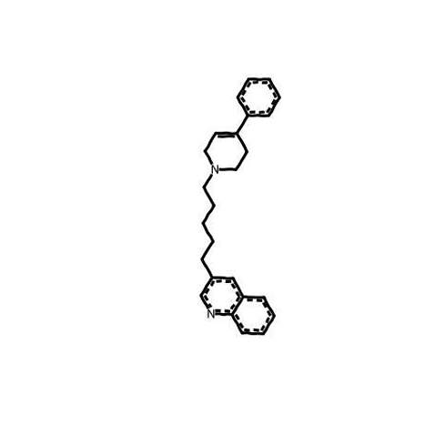 C1=C(c2ccccc2)CCN(CCCCCc2cnc3ccccc3c2)C1